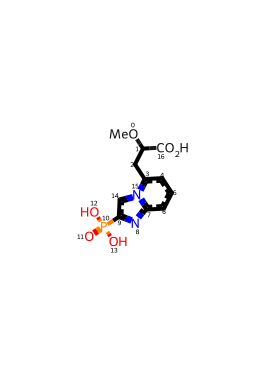 COC(Cc1cccc2nc(P(=O)(O)O)cn12)C(=O)O